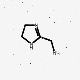 [NH]CC1=NCCN1